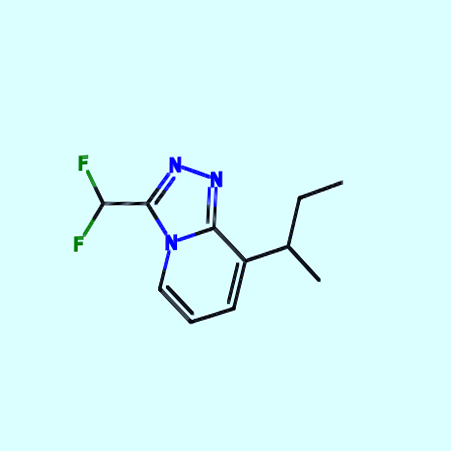 CCC(C)c1cccn2c(C(F)F)nnc12